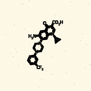 Nc1cc2c(=O)c(C(=O)O)cn(C3CC3)c2cc1N1CCN(c2cccc(C(F)(F)F)c2)CC1